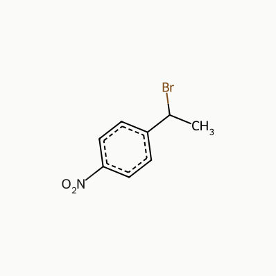 CC(Br)c1ccc([N+](=O)[O-])cc1